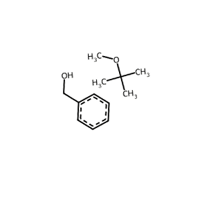 COC(C)(C)C.OCc1ccccc1